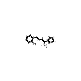 C/C(=C\N=C\c1ccccc1Cl)c1cccs1